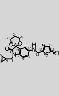 O=C1N(CC2CC2)c2ccc(NCc3ccc(Cl)s3)cc2C12OCCCO2